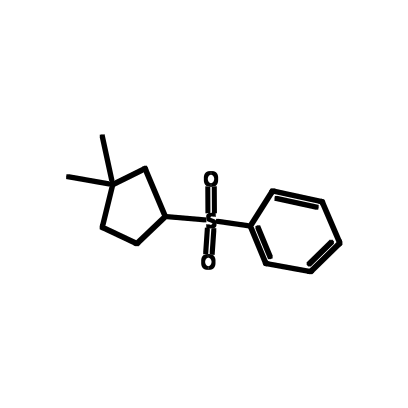 CC1(C)CCC(S(=O)(=O)c2ccccc2)C1